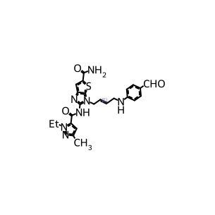 CCn1nc(C)cc1C(=O)Nc1nc2cc(C(N)=O)sc2n1C/C=C/CNc1ccc(C=O)cc1